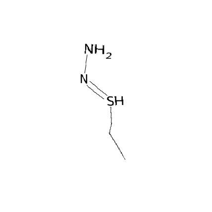 CC[SH]=NN